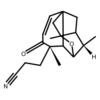 C[C@@H]1C2OC3(C)CC4(C=CC(=O)[C@@](C)(CCC#N)C24)CC13